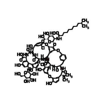 CC(C)CCCCCCCCC(=O)N[C@H]1[C@H](Oc2c3cc4cc2Oc2ccc(cc2Cl)[C@@H](O)[C@@H]2NC(=O)[C@H](NC(=O)[C@@H]4NC(=O)[C@H]4NC(=O)[C@@H](Cc5ccc(cc5)O3)NC(=O)[C@H](N(C)C)c3ccc(O)c(c3)Oc3cc(O)c(Cl)c4c3)c3ccc(O)c(c3)-c3c(O[C@H]4O[C@H](CO)[C@@H](O)[C@H](O)[C@@H]4O)cc(O)cc3[C@@H](C(=O)O)NC2=O)O[C@H](C(=O)O)[C@@H](O)[C@@H]1O